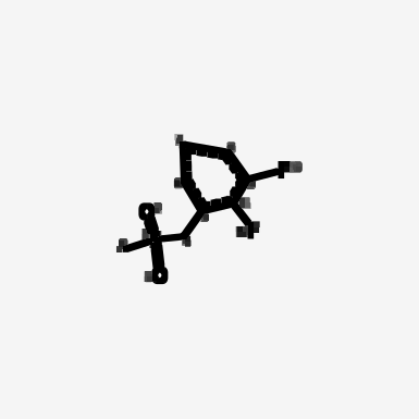 [CH2]S(=O)(=O)Cc1cccc(F)c1F